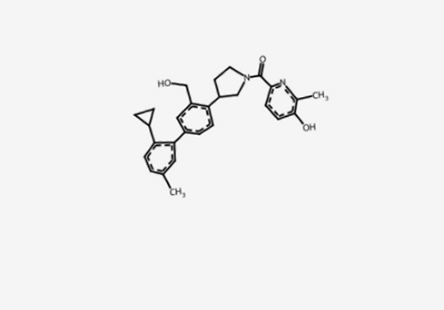 Cc1ccc(C2CC2)c(-c2ccc(C3CCN(C(=O)c4ccc(O)c(C)n4)C3)c(CO)c2)c1